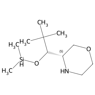 C[SiH](C)OC([C@@H]1COCCN1)C(C)(C)C